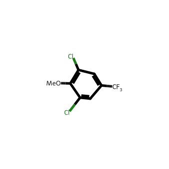 COc1c(Cl)cc(C(F)(F)F)cc1Cl